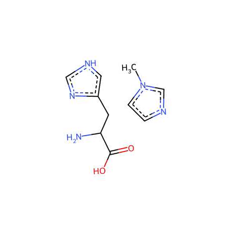 Cn1ccnc1.NC(Cc1c[nH]cn1)C(=O)O